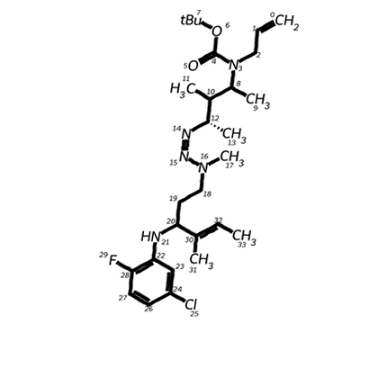 C=CCN(C(=O)OC(C)(C)C)C(C)C(C)[C@H](C)/N=N\N(C)CCC(Nc1cc(Cl)ccc1F)/C(C)=C/C